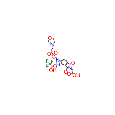 O=C(O)C(F)(F)F.O=C(O)CN1C(=O)c2ccc(NCOS(=O)(=O)CCN3CCOCC3)cc2C1=O